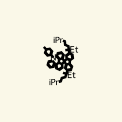 CCC(C)(CCCC(C)C)c1ccc2c(c1)C1(c3cc(C(C)(CC)CCCC(C)C)ccc3-2)c2cccc(N(C3=CCC(C)C=C3)c3ccccc3)c2C2C=CC=CC21